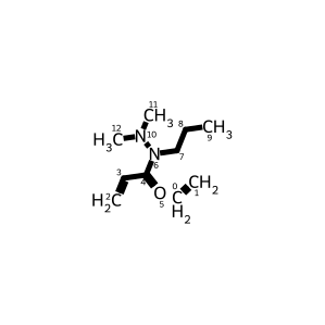 C=C.C=CC(=O)N(CCC)N(C)C